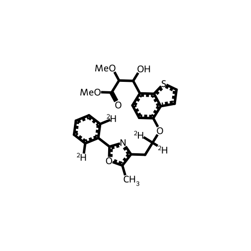 [2H]c1cccc([2H])c1-c1nc(CC([2H])([2H])Oc2ccc(C(O)C(OC)C(=O)OC)c3sccc23)c(C)o1